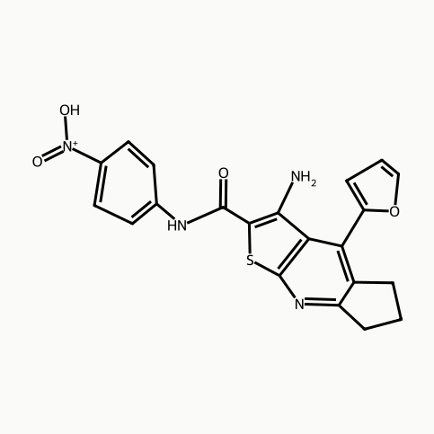 Nc1c(C(=O)Nc2ccc([N+](=O)O)cc2)sc2nc3c(c(-c4ccco4)c12)CCC3